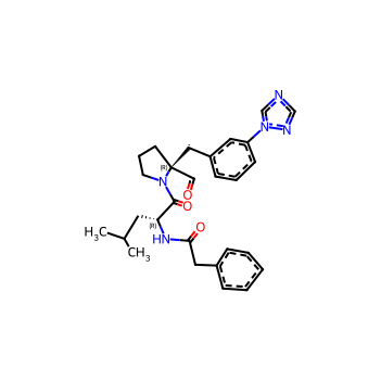 CC(C)C[C@@H](NC(=O)Cc1ccccc1)C(=O)N1CCC[C@]1([CH]c1cccc(-n2cncn2)c1)C=O